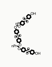 CCCC(Oc1ccc(S(=O)(=O)c2ccc(O)cc2)cc1)Oc1ccc(S(=O)(=O)c2ccc(OC(CCC)Oc3ccc(S(=O)(=O)c4ccc(O)cc4)cc3)cc2)cc1